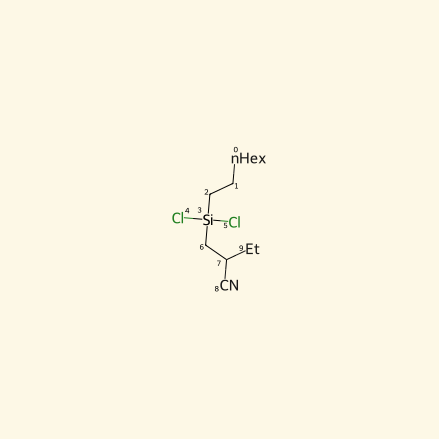 CCCCCCCC[Si](Cl)(Cl)CC(C#N)CC